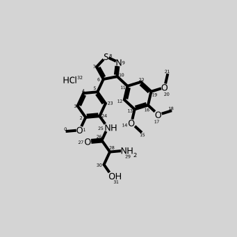 COc1ccc(-c2csnc2-c2cc(OC)c(OC)c(OC)c2)cc1NC(=O)C(N)CO.Cl